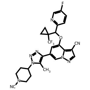 Cc1c(-c2cc(OC(c3ccc(F)cn3)C3(C(F)(F)F)CC3)c3c(C#N)cnn3c2)nnn1C1CCN(C#N)CC1